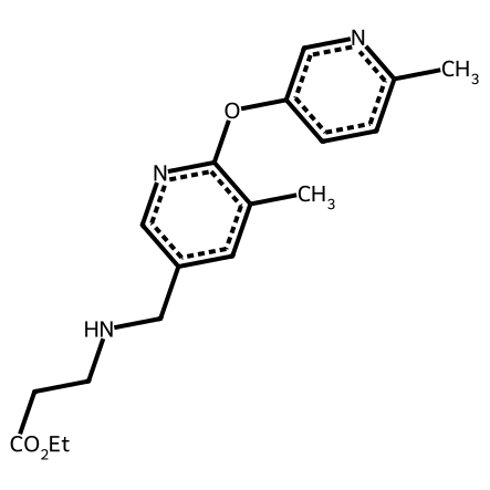 CCOC(=O)CCNCc1cnc(Oc2ccc(C)nc2)c(C)c1